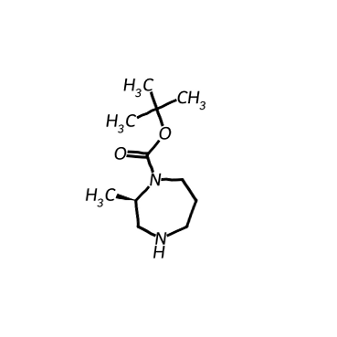 C[C@@H]1CNCCCN1C(=O)OC(C)(C)C